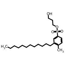 CCCCCCCCCCCCc1cc(S(=O)(=O)OCCCO)ccc1C